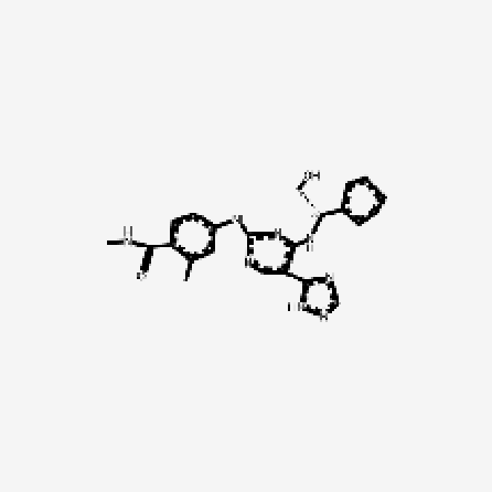 CNC(=O)c1ccc(Nc2ncc(-c3ncn[nH]3)c(N[C@H](CO)c3ccccc3)n2)cc1C